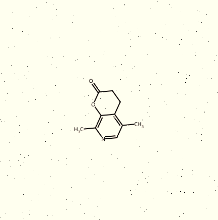 Cc1cnc(C)c2c1CCC(=O)O2